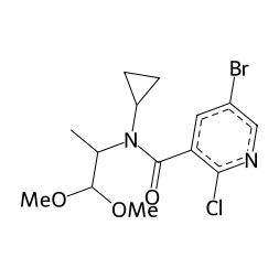 COC(OC)C(C)N(C(=O)c1cc(Br)cnc1Cl)C1CC1